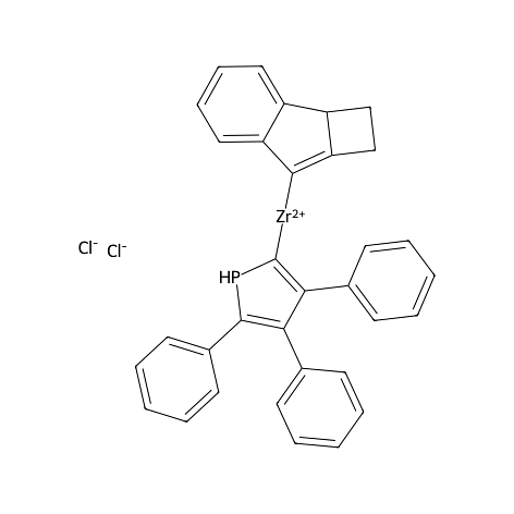 [Cl-].[Cl-].c1ccc(-c2[pH][c]([Zr+2][C]3=C4CCC4c4ccccc43)c(-c3ccccc3)c2-c2ccccc2)cc1